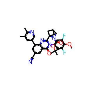 COc1c(F)cc(-n2c(C34CC(CN3C(=O)OC(C)(C)C)C4)nc3c(-c4cnc(C)c(C)c4)cc(C#N)cc3c2=O)cc1F